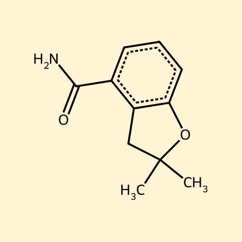 CC1(C)Cc2c(cccc2C(N)=O)O1